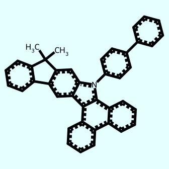 CC1(C)c2ccccc2-c2cc3c4c5ccccc5c5ccccc5c4n(-c4ccc(-c5ccccc5)cc4)c3cc21